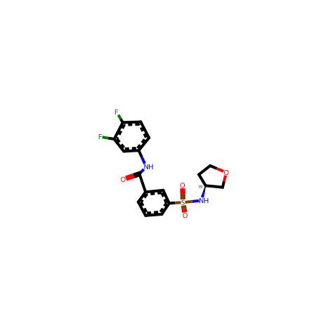 O=C(Nc1ccc(F)c(F)c1)c1cccc(S(=O)(=O)N[C@H]2CCOC2)c1